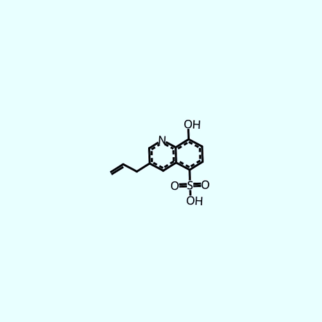 C=CCc1cnc2c(O)ccc(S(=O)(=O)O)c2c1